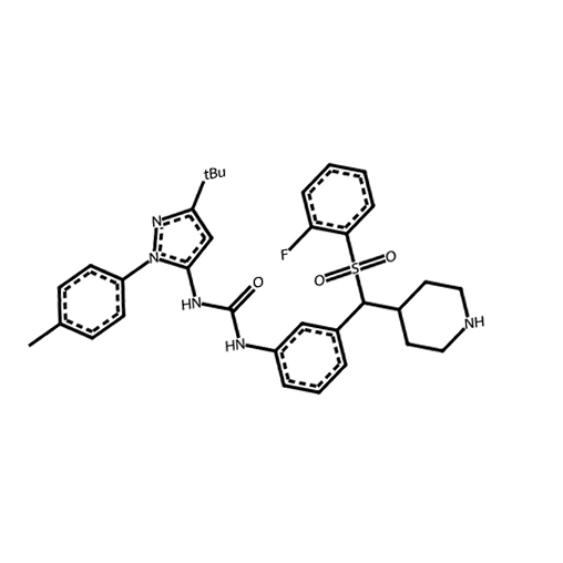 Cc1ccc(-n2nc(C(C)(C)C)cc2NC(=O)Nc2cccc(C(C3CCNCC3)S(=O)(=O)c3ccccc3F)c2)cc1